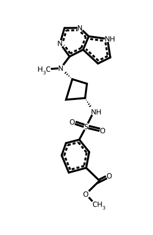 COC(=O)c1cccc(S(=O)(=O)N[C@H]2C[C@@H](N(C)c3ncnc4[nH]ccc34)C2)c1